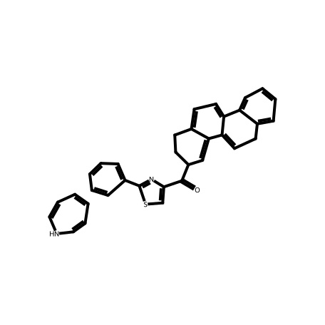 C1=CC=CNC=C1.O=C(c1csc(-c2ccccc2)n1)C1C=c2c(ccc3c2=CCc2ccccc2-3)CC1